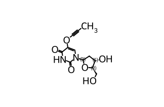 CC#COc1cn([C@H]2C[C@H](O)[C@@H](CO)O2)c(=O)[nH]c1=O